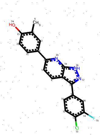 Cc1cc(-c2ccc3c(-c4ccc(Cl)c(F)c4)n[nH]c3n2)ccc1O